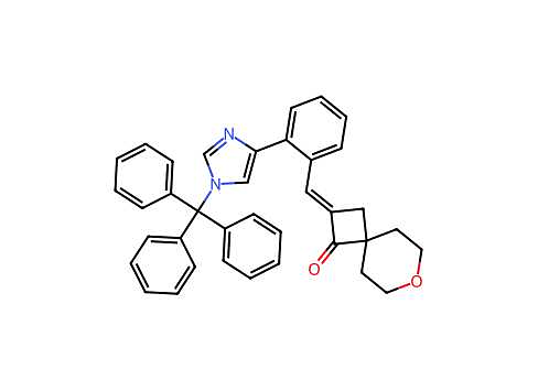 O=C1C(=Cc2ccccc2-c2cn(C(c3ccccc3)(c3ccccc3)c3ccccc3)cn2)CC12CCOCC2